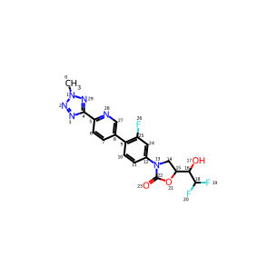 Cn1nnc(-c2ccc(-c3ccc(N4CC(C(O)C(F)F)OC4=O)cc3F)cn2)n1